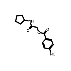 [C-]#[N+]c1ccc(C(=O)OCC(=O)NC2CCCC2)cc1